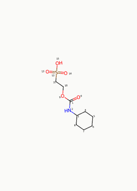 O=C(NC1CCCCC1)OCCS(=O)(=O)O